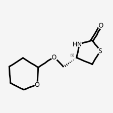 O=C1N[C@@H](COC2CCCCO2)CS1